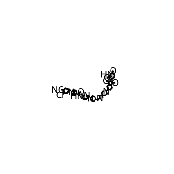 N#Cc1ccc(N2CCN(C(=O)Nc3ccc(N4CCC(CN5CC6(CCN(c7ccc8c(c7)C(=O)N(C7CCC(=O)NC7=O)C8=O)CC6)C5)CC4)nc3)CC2)cc1Cl